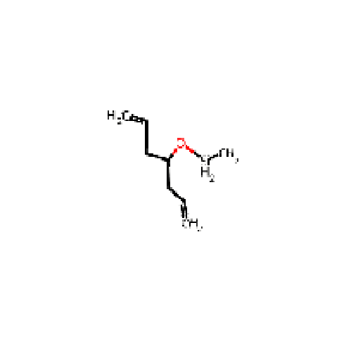 C=CCC(CC=C)O[SiH2]C